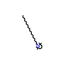 CCCCCCCCCCCCCCCCCCN1C(C)(C)CCCC1(C)C